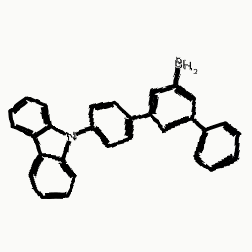 Bc1cc(-c2ccccc2)cc(-c2ccc(-n3c4ccccc4c4ccccc43)cc2)c1